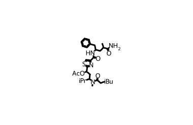 CCC(C)CC(=O)N(C)C(CC(OC(C)=O)c1nc(C(=O)NC(Cc2ccccc2)CC(C)C(N)=O)cs1)C(C)C